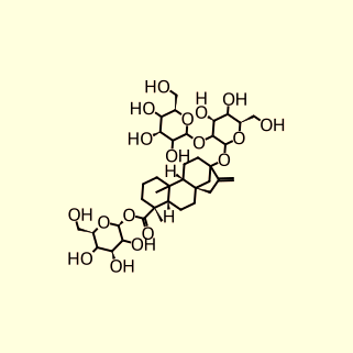 C=C1C[C@@]23CC[C@H]4C(C)(CCC[C@@]4(C)C(=O)O[C@@H]4O[C@H](CO)C(O)[C@H](O)C4O)[C@@H]2CCC1(OC1O[C@H](CO)C(O)[C@H](O)C1OC1O[C@H](CO)C(O)[C@H](O)C1O)C3